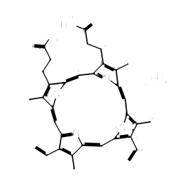 C=CC1=C(C)c2cc3[nH]c(cc4nc(cc5[nH]c(cc1n2)c(C)c5CCC(=O)O)C(CCC(=O)O)=C4C)c(C)c3C=C.[GeH4]